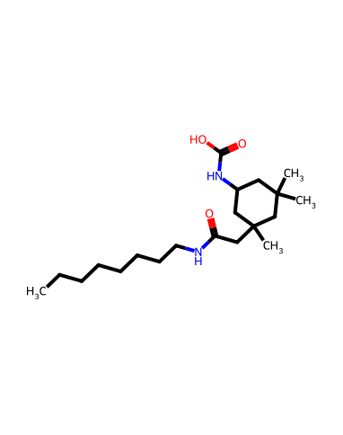 CCCCCCCCNC(=O)CC1(C)CC(NC(=O)O)CC(C)(C)C1